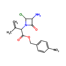 C=C(C)C(C(=O)OCc1ccc([N+](=O)[O-])cc1)N1C(=O)C(N)C1Cl